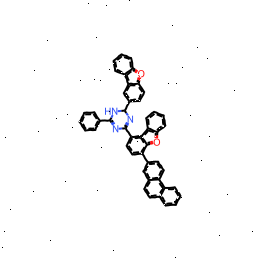 c1ccc(C2=NC(c3ccc(-c4ccc5c(ccc6ccccc65)c4)c4oc5ccccc5c34)=NC(c3ccc4oc5ccccc5c4c3)N2)cc1